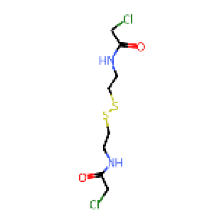 O=C(CCl)NCCSSCCNC(=O)CCl